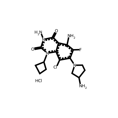 Cl.Nc1c(F)c(N2CCC(N)C2)c(Cl)c2c1c(=O)n(N)c(=O)n2C1CCC1